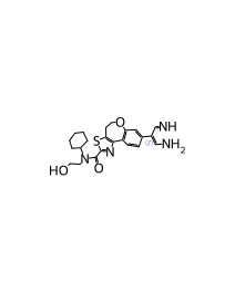 N=C/C(=C\N)c1ccc2c(c1)OCCc1sc(C(=O)N(CCO)C3CCCCC3)nc1-2